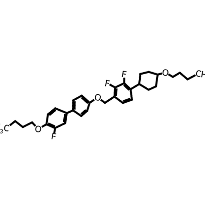 CCCCOc1ccc(-c2ccc(OCc3ccc(C4CCC(OCCCC)CC4)c(F)c3F)cc2)cc1F